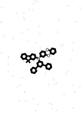 CC1(C)c2ccccc2-c2ccc(N(c3cc(-c4ccccc4)cc(-c4ccccc4)c3)c3ccc4c(c3)Oc3ccccc3O4)cc21